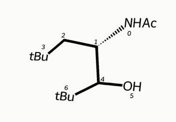 CC(=O)N[C@@H](CC(C)(C)C)C(O)C(C)(C)C